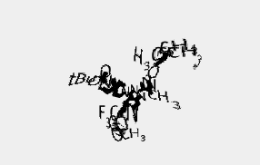 Cc1nn(COCC[Si](C)(C)C)cc1-c1nc(N2CCC3(CCN(C(=O)OC(C)(C)C)C3)CC2)c2cc(C(OS(C)(=O)=O)C(F)(F)F)ncc2n1